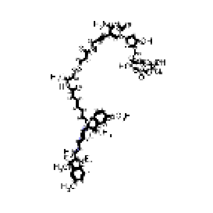 CC[N+]1=C(/C=C/C=C/C=C2/N(CCCCCC(=O)NC(C)CSSCCC(=O)NCC#Cc3cn([C@H]4C[C@@H](O)[C@@H](COP(=O)(O)OP(=O)(O)OP(=O)(O)O)O4)c(=O)nc3N)c3ccc(S(=O)(=O)O)cc3C2(C)C)C(C)(C)c2cc(C)ccc21